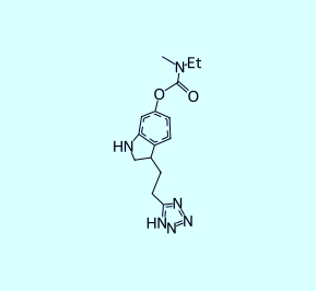 CCN(C)C(=O)Oc1ccc2c(c1)NCC2CCc1nnn[nH]1